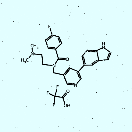 CN(C)CCN(Cc1cncc(-c2ccc3[nH]ccc3c2)c1)C(=O)c1ccc(F)cc1.O=C(O)C(F)(F)F